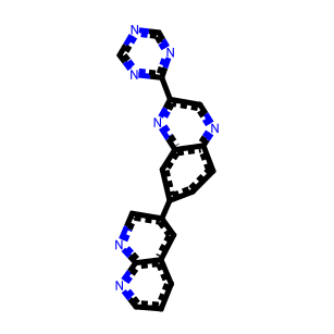 c1cnc2ncc(-c3ccc4ncc(-c5ncncn5)nc4c3)cc2c1